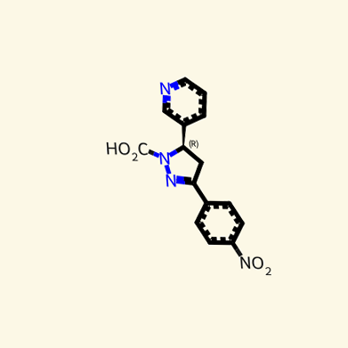 O=C(O)N1N=C(c2ccc([N+](=O)[O-])cc2)C[C@@H]1c1cccnc1